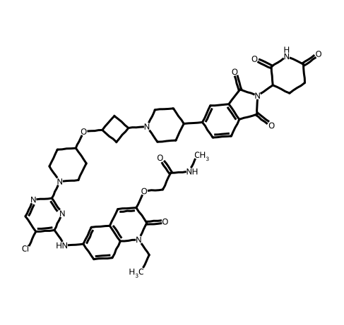 CCn1c(=O)c(OCC(=O)NC)cc2cc(Nc3nc(N4CCC(OC5CC(N6CCC(c7ccc8c(c7)C(=O)N(C7CCC(=O)NC7=O)C8=O)CC6)C5)CC4)ncc3Cl)ccc21